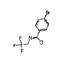 FC(F)(F)C/N=C(\Cl)c1ccc(Br)cc1